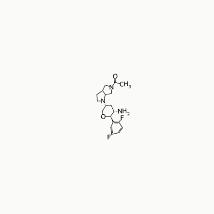 CC(=O)N1CC2CCN([C@H]3CO[C@H](c4cc(F)ccc4F)[C@@H](N)C3)C2C1